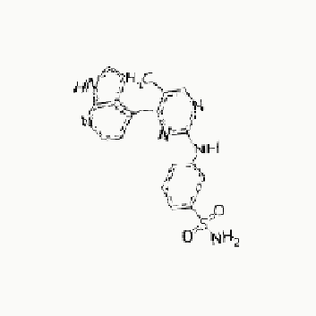 Cc1cnc(Nc2cccc(S(N)(=O)=O)c2)nc1-c1ccnc2[nH]ccc12